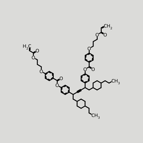 C=CC(=O)OCCCOc1ccc(C(=O)Oc2ccc(C(C#CC(CC3CCC(CCC)CC3)c3ccc(OC(=O)c4ccc(OCCCOC(=O)C=C)cc4)cc3)CC3CCC(CCC)CC3)cc2)cc1